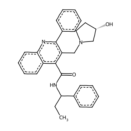 CCC(NC(=O)c1c(CN2CC[C@H](O)C2)c(-c2ccccc2)nc2ccccc12)c1ccccc1